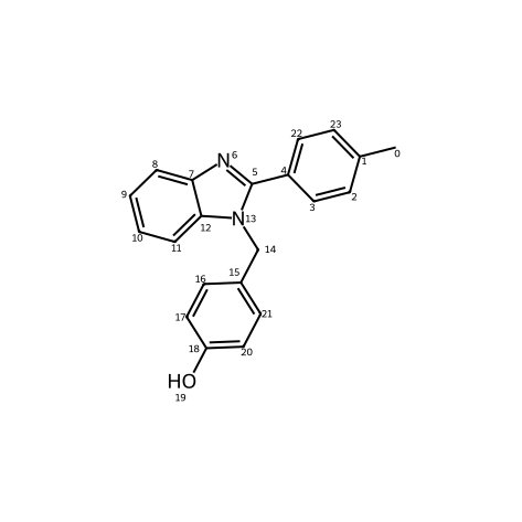 Cc1ccc(-c2nc3ccccc3n2Cc2ccc(O)cc2)cc1